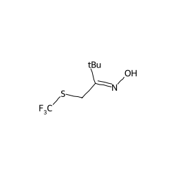 CC(C)(C)/C(CSC(F)(F)F)=N\O